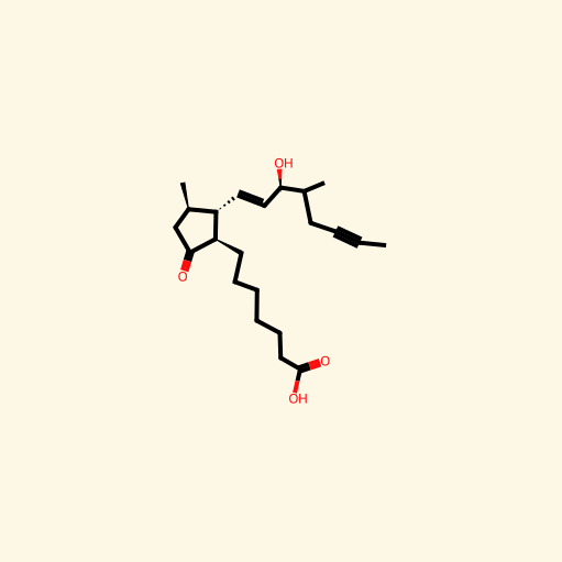 CC#CCC(C)[C@H](O)/C=C/[C@H]1[C@H](C)CC(=O)[C@@H]1CCCCCCC(=O)O